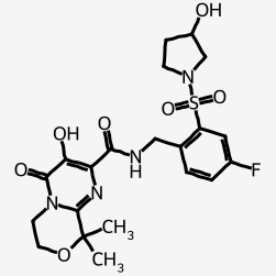 CC1(C)OCCn2c1nc(C(=O)NCc1ccc(F)cc1S(=O)(=O)N1CCC(O)C1)c(O)c2=O